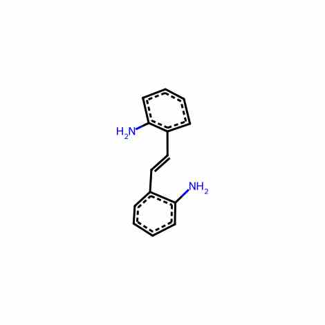 Nc1ccccc1C=Cc1ccccc1N